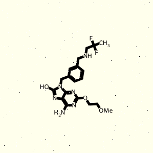 COCCOc1nc(N)c2nc(O)n(Cc3cccc(CNCC(C)(F)F)c3)c2n1